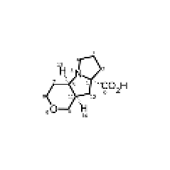 O=C(O)[C@@]12CCCN1[C@@H]1CCOC[C@@H]1C2